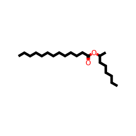 CCCCCCCCCCCCC(=O)OC(C)CCCCCC